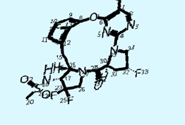 Cc1cnc2nc1Oc1cccc(c1F)C[C@H]1[C@@H](NS(C)(=O)=O)C(F)(F)CN1C(=O)[C@@H]1C[C@@H](F)CN21